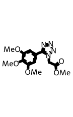 COC(=O)Cn1nnnc1-c1cc(OC)c(OC)c(OC)c1